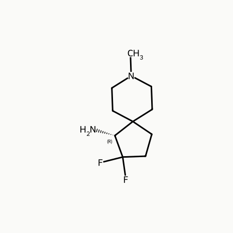 CN1CCC2(CC1)CCC(F)(F)[C@@H]2N